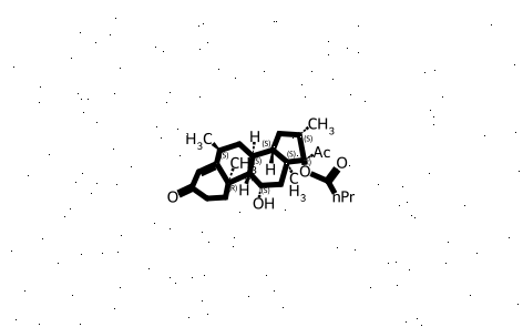 CCCC(=O)O[C@]1(C(C)=O)[C@@H](C)C[C@H]2[C@@H]3C[C@H](C)C4=CC(=O)CC[C@]4(C)[C@H]3[C@@H](O)C[C@@]21C